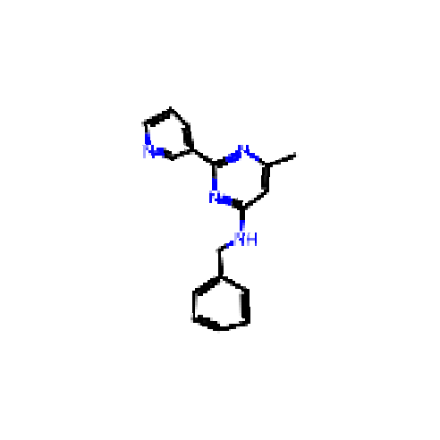 Cc1cc(NCc2ccccc2)nc(-c2cccnc2)n1